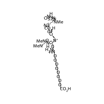 C=N/C(C(=O)O)=C(/CCCOc1ccc(C#CC[N+](C)(C)Cc2ccc(NC(=O)C(CCCNC)NC)cc2COC/C(N)=C/NCCOCCOCCOCCOCCOCCOCCOCCOCCC(=O)O)cc1F)SCCCc1c(NC)nnc(Nc2nc3ccccc3s2)c1C